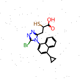 O=C(O)C(S)Cc1nnc(Br)n1-c1ccc(C2CC2)c2ccccc12